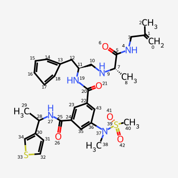 C=C(C)CNC(=O)[C@H](C)NC[C@H](Cc1ccccc1)NC(=O)c1cc(C(=O)NC(C)c2ccsc2)cc(N(C)S(C)(=O)=O)c1